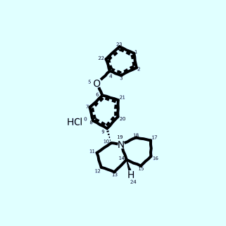 Cl.c1ccc(Oc2ccc([C@H]3CCC[C@H]4CCCCN43)cc2)cc1